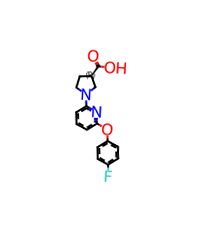 O=C(O)[C@@H]1CCN(c2cccc(Oc3ccc(F)cc3)n2)C1